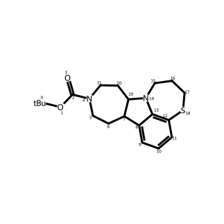 CC(C)(C)OC(=O)N1CCC2c3cccc4c3N(CCCS4)C2CC1